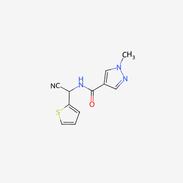 Cn1cc(C(=O)NC(C#N)c2cccs2)cn1